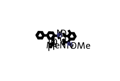 CNC(=O)/C(=N/OC)c1cccc(C)c1CO/N=C(\C)c1ccc(-c2ccccc2)cc1OC(F)(F)I